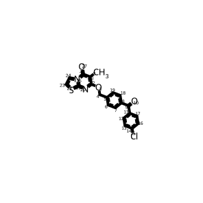 Cc1c(OCc2ccc(C(=O)c3ccc(Cl)cc3)cc2)nc2sccn2c1=O